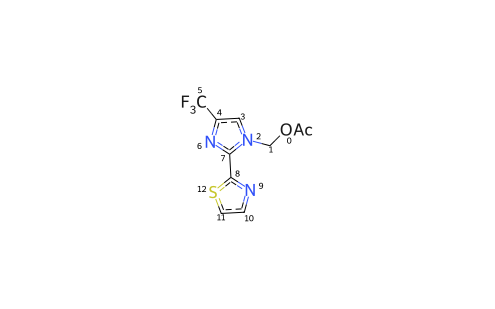 CC(=O)OCn1cc(C(F)(F)F)nc1-c1nccs1